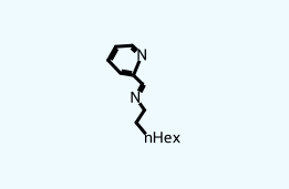 CCCCCCCC/N=C/c1ccccn1